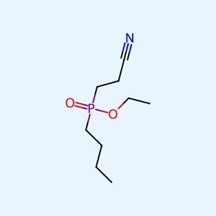 CCCCP(=O)(CCC#N)OCC